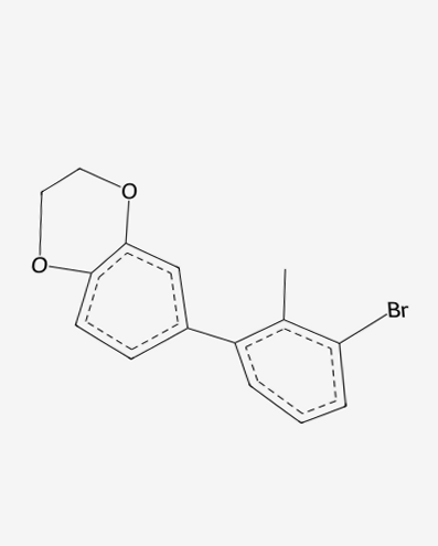 Cc1c(Br)cccc1-c1ccc2c(c1)OCCO2